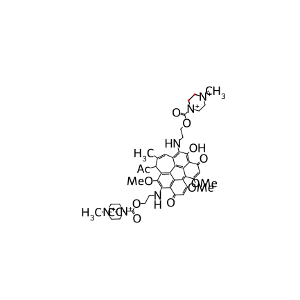 COc1c(NCCOC(=O)[N+]23CC[N+](C)(CC2)CC3)c2c(=O)cc(OC)c3c4c(OC)cc(=O)c5c(O)c(NCCOC(=O)[N+]67CC[N+](C)(CC6)CC7)c6c(c(c1C(C(C)=O)C(C)=C6)c23)c54